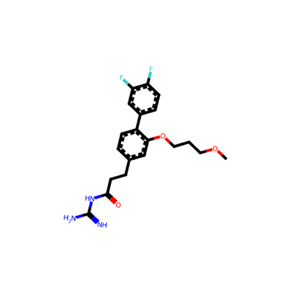 COCCCOc1cc(CCC(=O)NC(=N)N)ccc1-c1ccc(F)c(F)c1